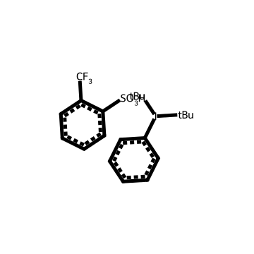 CC(C)(C)I(c1ccccc1)C(C)(C)C.O=S(=O)(O)c1ccccc1C(F)(F)F